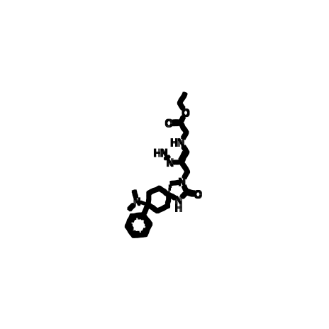 CCOC(=O)CN/C=C(/CN1C[C@]2(CC[C@](c3ccccc3)(N(C)C)CC2)NC1=O)N=N